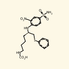 NS(=O)(=O)c1ccc(N[C@H](CCCCNC(=O)O)CSc2ccccc2)c([N+](=O)[O-])c1